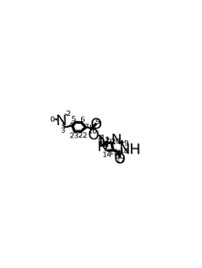 CN(C)Cc1ccc(C(=O)OCn2ncc3c(=O)[nH]cnc32)cc1